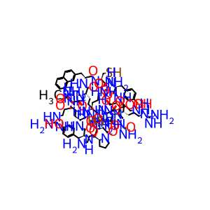 CC(=O)N[C@@H](CCCNC(=N)N)C(=O)N[C@@H](CCCNC(=N)N)C(=O)N[C@@H](Cc1ccc2ccccc2c1)C(=O)N[C@@H](CS)C(=O)N[C@@H](Cc1ccc(O)cc1)C(=O)N[C@@H](CCCNC(N)=O)C(=O)N[C@@H](CCCCN)C(=O)N[C@H](CCCCN)C(=O)N1CCC[C@H]1C(=O)N[C@@H](Cc1ccc(O)cc1)C(=O)N[C@@H](CCCNC(N)=O)C(=O)N[C@@H](CCCNC(N)=O)C(=O)N[C@@H](CS)C(=O)N[C@@H](CCCNC(=N)N)C(=O)O